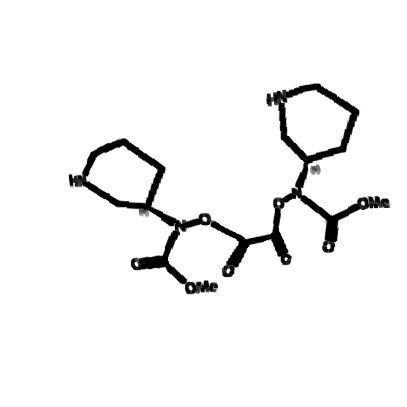 COC(=O)N(OC(=O)C(=O)ON(C(=O)OC)[C@@H]1CCCNC1)[C@@H]1CCCNC1